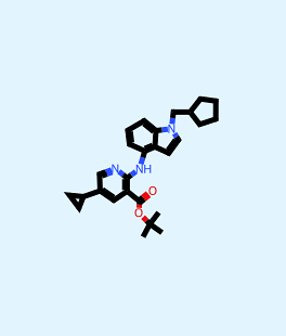 CC(C)(C)OC(=O)c1cc(C2CC2)cnc1Nc1cccc2c1ccn2CC1CCCC1